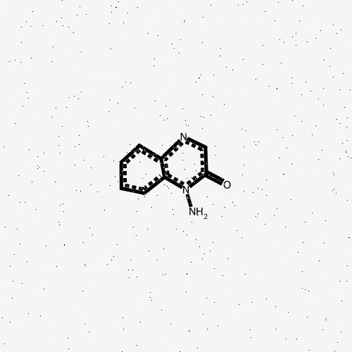 Nn1c(=O)cnc2ccccc21